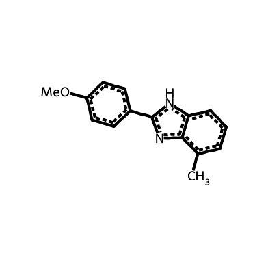 COc1ccc(-c2nc3c(C)cccc3[nH]2)cc1